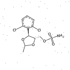 CC1O[C@@H](COS(N)(=O)=O)[C@H](c2c(Cl)cccc2Cl)O1